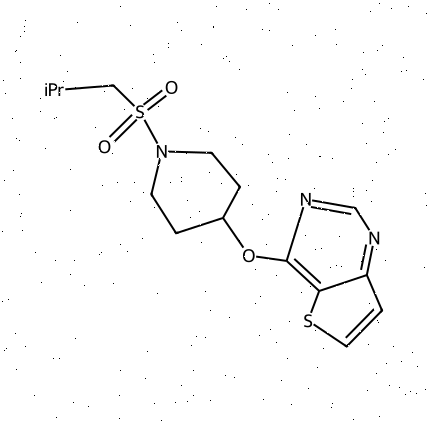 CC(C)CS(=O)(=O)N1CCC(Oc2ncnc3ccsc23)CC1